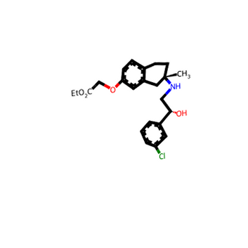 CCOC(=O)COc1ccc2c(c1)C[C@@](C)(NC[C@H](O)c1cccc(Cl)c1)CC2